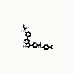 C=CC(=O)Nc1cccc(-c2cnc3[nH]cc(-c4ccc(C(=O)Nc5ccc(C(C)C)cc5)nc4)c3c2)c1